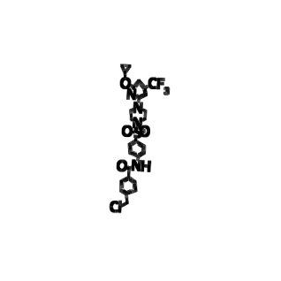 O=C(Nc1ccc(S(=O)(=O)N2CCN(c3cc(C(F)(F)F)cc(OC4CC4)n3)CC2)cc1)c1ccc(CCl)cc1